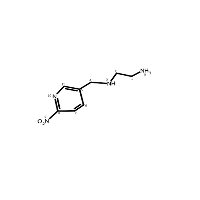 NCCNCc1ccc([N+](=O)[O-])nc1